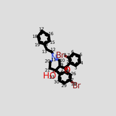 O=C(c1ccccc1Br)C1CN(CCc2ccccc2)CCC1(O)c1ccc(Br)cc1